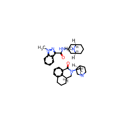 CN1[C@@H]2CCC[C@H]1C[C@@H](NC(=O)c1nn(C)c3ccccc13)C2.O=C1c2cccc3c2[C@H](CCC3)CN1[C@@H]1CN2CCC1CC2